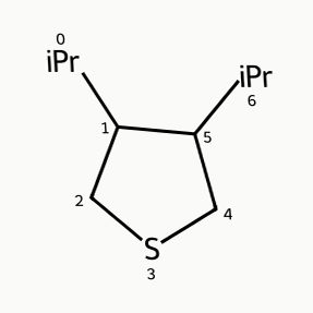 CC(C)C1CSCC1C(C)C